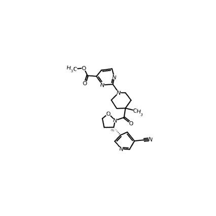 COC(=O)c1ccnc(N2CCC(C)(C(=O)N3OCC[C@H]3c3cncc(C#N)c3)CC2)n1